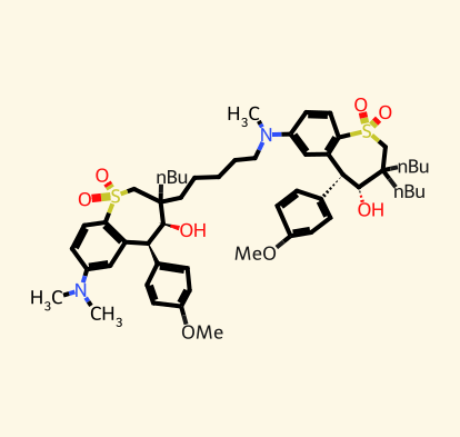 CCCCC1(CCCC)CS(=O)(=O)c2ccc(N(C)CCCCCC3(CCCC)CS(=O)(=O)c4ccc(N(C)C)cc4[C@H](c4ccc(OC)cc4)[C@@H]3O)cc2[C@@H](c2ccc(OC)cc2)[C@H]1O